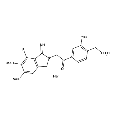 Br.COc1cc2c(c(F)c1OC)C(=N)N(CC(=O)c1ccc(CC(=O)O)c(C(C)(C)C)c1)C2